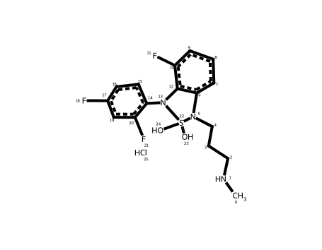 CNCCCN1c2cccc(F)c2N(c2ccc(F)cc2F)S1(O)O.Cl